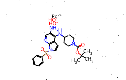 CC(C)(C)OC(=O)N1CCC(Nc2c(N)cnc3c2ccn3S(=O)(=O)c2ccccc2)CC1.[OH-].[OH-].[Pd+2]